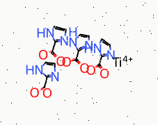 O=C([O-])c1ncc[nH]1.O=C([O-])c1ncc[nH]1.O=C([O-])c1ncc[nH]1.O=C([O-])c1ncc[nH]1.[Ti+4]